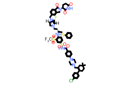 CC1(C)CCC(c2ccc(Cl)cc2)=C(CN2CCN(c3ccc(C(=O)NS(=O)(=O)c4ccc(N[C@H](CCN5C[C@H]6C[C@@H]5CN6Cc5ccc6c(c5F)CN(C5CCC(=O)NC5=O)C6=O)CSc5ccccc5)c(S(=O)(=O)C(F)(F)F)c4)cc3)CC2)C1